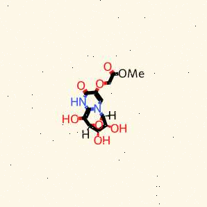 COC(=O)COC1=CN2C(=C(O)[C@H]3O[C@@H]2[C@@H](O)[C@H]3O)NC1=O